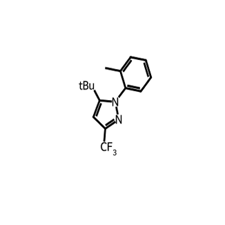 Cc1ccccc1-n1nc(C(F)(F)F)cc1C(C)(C)C